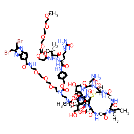 CC[C@H](C)[C@@H]1NC(=O)CNC(=O)[C@H]2Cc3c([nH]c4cc(OC(=O)N(C)CCN(CCOCCOCCOCCNC(=O)c5ccc6nc(CBr)c(CBr)nc6c5)C(=O)OCc5ccc(NC(=O)[C@H](CCCNC(N)=O)NC(=O)[C@@H](NC(=O)CCOCCOCCOCCOCCOC)C(C)C)cc5)ccc34)[S+]([O-])C[C@H](NC(=O)CNC1=O)C(=O)N[C@@H](CC(N)=O)C(=O)N1C[C@H](O)C[C@H]1C(=O)N[C@@H]([C@@H](C)[C@@H](O)CO)C(=O)N2